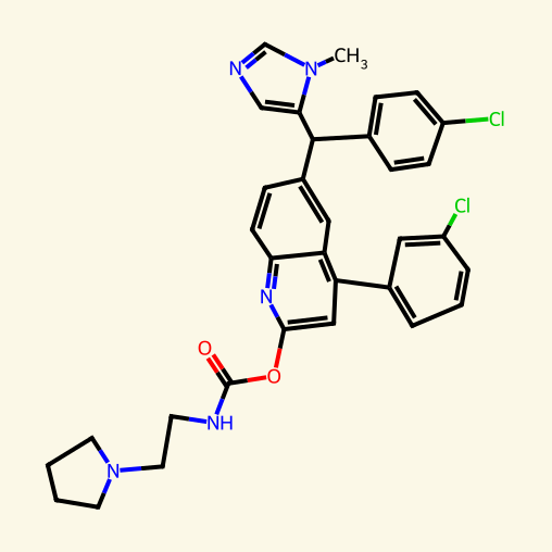 Cn1cncc1C(c1ccc(Cl)cc1)c1ccc2nc(OC(=O)NCCN3CCCC3)cc(-c3cccc(Cl)c3)c2c1